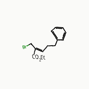 CCOC(=O)C(=CCCc1ccccc1)CBr